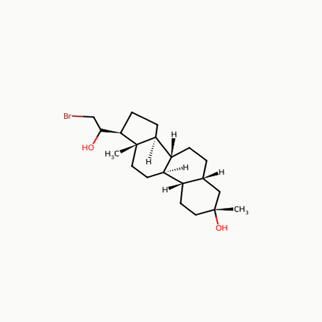 C[C@@]1(O)CC[C@H]2[C@H](CC[C@@H]3[C@@H]2CC[C@]2(C)[C@@H](C(O)CBr)CC[C@@H]32)C1